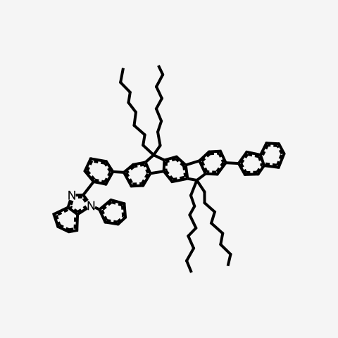 CCCCCCCCC1(CCCCCCCC)c2cc(-c3cccc(-c4nc5ccccc5n4-c4ccccc4)c3)ccc2-c2cc3c(cc21)-c1ccc(-c2ccc4ccccc4c2)cc1C3(CCCCCCCC)CCCCCCCC